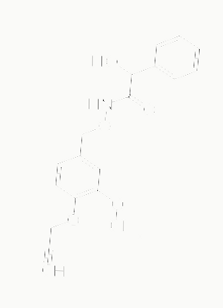 C#CCOc1ccc(CONC(=O)C(O)c2ccccc2)cc1OC